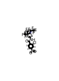 O=C(NC1=NC(C(F)(F)F)(C(F)(F)F)/C(=C(\F)C(F)(F)F)S1)c1ccc([N+](=O)[O-])cc1Cl